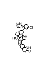 Cc1nc(C2(O)CCc3cc(-c4cc(Cl)ccc4-n4cnnn4)c[n+](O)c32)[nH]c1-c1ccc2c(c1)NC(=O)CC2